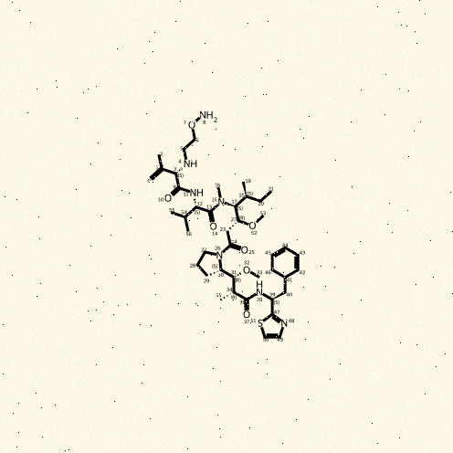 C=C(C)[C@H](NCCON)C(=O)N[C@H](C(=O)N(C)[C@@H]([C@@H](C)CC)[C@@H](CC(=O)N1CCC[C@H]1[C@H](OC)[C@@H](C)C(=O)N[C@@H](CC1C=CC=CC1)c1nccs1)OC)C(C)C